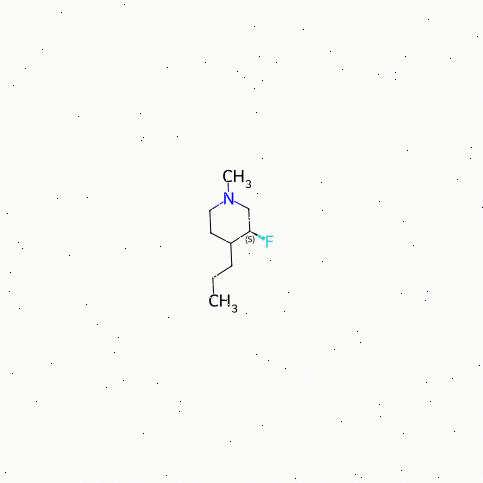 CCCC1CCN(C)C[C@H]1F